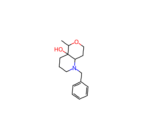 CC1OCCC2N(Cc3ccccc3)CCCC12O